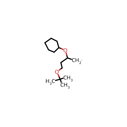 [CH2]C(CCOC(C)(C)C)OC1CCCCC1